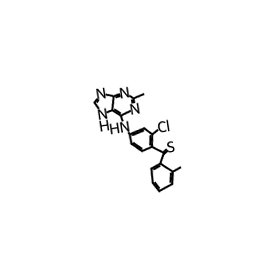 Cc1nc(Nc2ccc(C(=S)c3ccccc3C)c(Cl)c2)c2[nH]cnc2n1